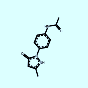 CC(=O)Nc1ccc(-n2[nH]c(C)cc2=O)cc1